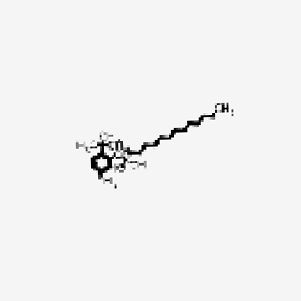 CCCCCCCCCCCCC[PH](O)(O)Oc1cc(C)ccc1C(C)(C)C